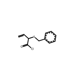 C=CC(SCc1ccccc1)C(=O)Cl